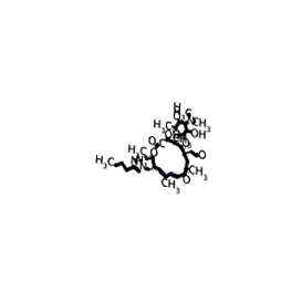 CCCCc1cn(C[C@H]2/C=C(C)/C=C/C(=O)[C@H](C)C[C@H](CC=O)[C@H](O[C@@H]3O[C@H](C)[C@@H](O)C(N(C)C)C3O)[C@@H](C)[C@H](O)CC(=O)O[C@@H]2CC)nn1